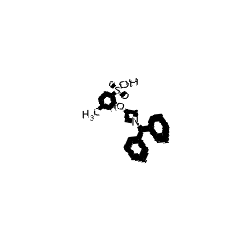 Cc1ccc(S(=O)(=O)O)cc1.OC1CN(C(c2ccccc2)c2ccccc2)C1